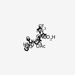 CC(=O)O[C@H](C[C@H](C(C)C)N(C)C(=O)[C@@H](NC(=O)[C@H]1CCCCN1C)C1COC1)c1nc(C(=O)N[C@@H](Cc2ncc(C(F)(F)F)cn2)C[C@H](C)C(=O)O)cs1